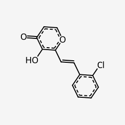 O=c1ccoc(C=Cc2ccccc2Cl)c1O